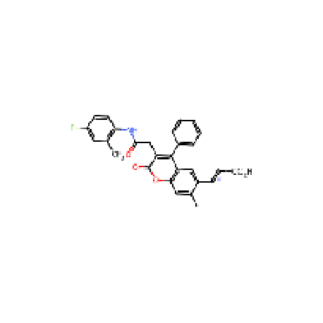 Cc1cc2oc(=O)c(CC(=O)Nc3ccc(F)cc3C(F)(F)F)c(-c3ccccc3)c2cc1/C=C/C(=O)O